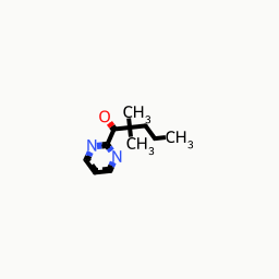 CCCC(C)(C)C(=O)c1ncccn1